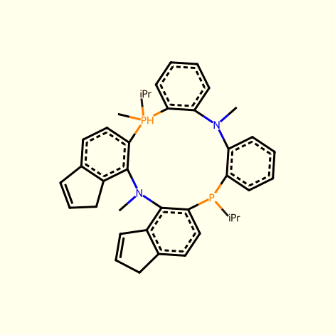 CC(C)P1c2ccccc2N(C)c2ccccc2[PH](C)(C(C)C)c2ccc3c(c2N(C)c2c1ccc1c2C=CC1)CC=C3